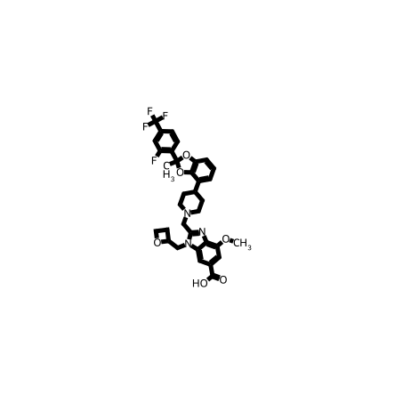 COc1cc(C(=O)O)cc2c1nc(CN1CCC(c3cccc4c3OC(C)(c3ccc(C(F)(F)F)cc3F)O4)CC1)n2CC1CCO1